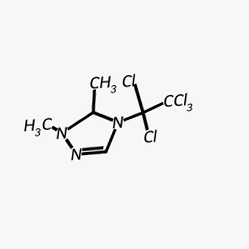 CC1N(C)N=CN1C(Cl)(Cl)C(Cl)(Cl)Cl